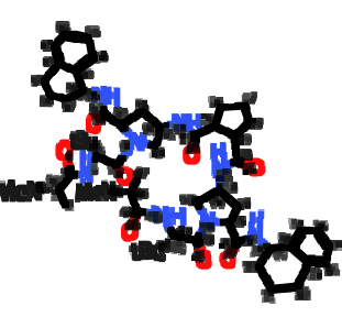 CN[C@@H](C)C(=O)NC(C(=O)N1C[C@@H](NC(=O)C2CCCC2C(=O)N[C@H]2CC(C(=O)N[C@@H]3CCCc4ccccc43)N(C(=O)[C@@H](NC(=O)[C@H](C)NC)C(C)(C)C)C2)CC1C(=O)N[C@@H]1CCCc2ccccc21)C(C)(C)C